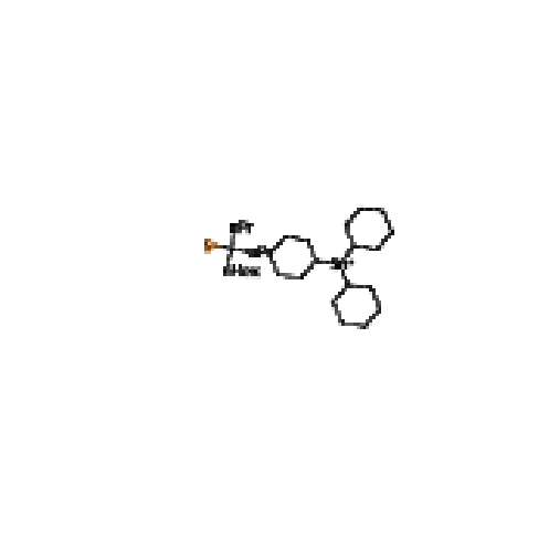 C1CC[CH]([Sn+]([CH]2CCCCC2)[CH]2CCCCC2)CC1.CCCCCCC([S-])(CCC)CCC